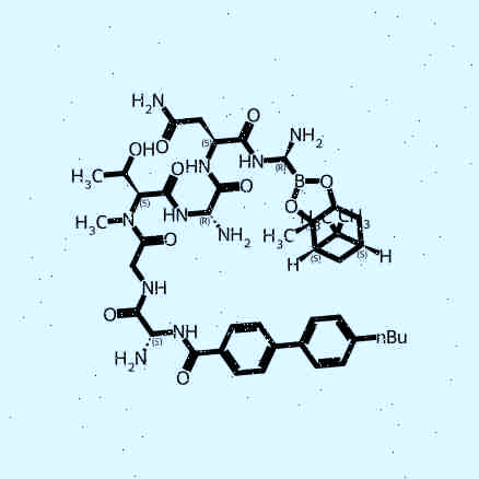 CCCCc1ccc(-c2ccc(C(=O)N[C@H](N)C(=O)NCC(=O)N(C)[C@H](C(=O)N[C@@H](N)C(=O)N[C@@H](CC(N)=O)C(=O)N[C@@H](N)B3OC4C[C@@H]5C[C@@H](C5(C)C)[C@]4(C)O3)C(C)O)cc2)cc1